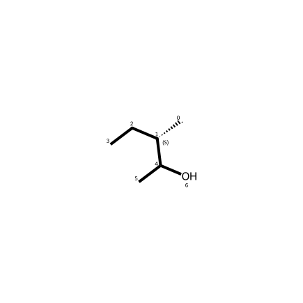 [CH2][C@@H](CC)C(C)O